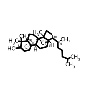 CC(C)CCC[C@@H](C)[C@H]1CC[C@@]2(C)[C@H]1CC[C@H]1[C@@]3(C)CCC(O)C(C)(C)[C@@H]3CC[C@@]12C